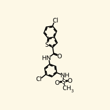 CS(=O)(=O)Nc1cc(Cl)cc(NC(=O)c2cc3cc(Cl)ccc3s2)c1